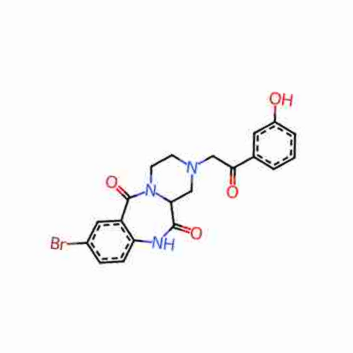 O=C(CN1CCN2C(=O)c3cc(Br)ccc3NC(=O)C2C1)c1cccc(O)c1